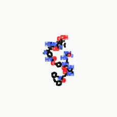 CN[C@@H](C(=O)N[C@H](C(=O)N(C)[C@H](/C=C(\C)C(=O)O)C(C)C)C(C)(C)C)C(C)(C)c1cn(C)c2cc(NC(=O)OC3=C4C=C(NC(=O)[C@H](CCCNC(N)=O)NC(=O)[C@@H](NC(=O)CCC(=O)N5Cc6ccccc6/C=C\c6ccccc65)C(C)C)C=CC43)ccc12